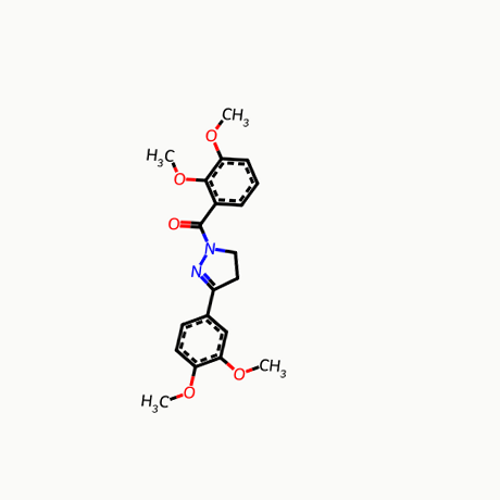 COc1ccc(C2=NN(C(=O)c3cccc(OC)c3OC)CC2)cc1OC